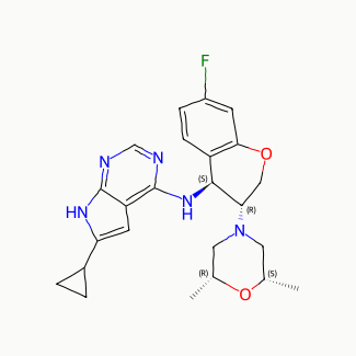 C[C@@H]1CN([C@H]2COc3cc(F)ccc3[C@@H]2Nc2ncnc3[nH]c(C4CC4)cc23)C[C@H](C)O1